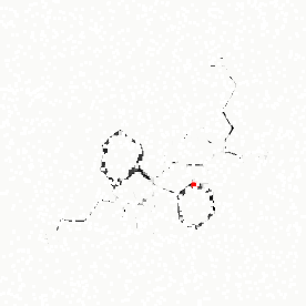 C[Si](C)(CCCS)O[Si](C)(C)O[Si](O[Si](C)(C)CCCS)(c1ccccc1)c1ccccc1